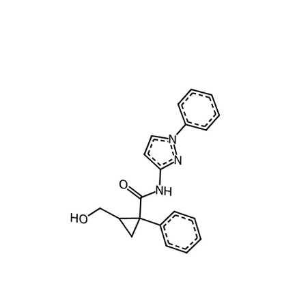 O=C(Nc1ccn(-c2ccccc2)n1)C1(c2ccccc2)CC1CO